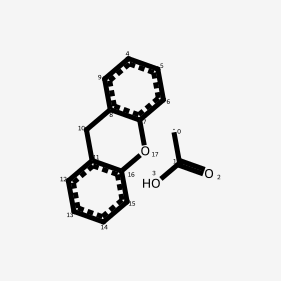 [CH2]C(=O)O.c1ccc2c(c1)Cc1ccccc1O2